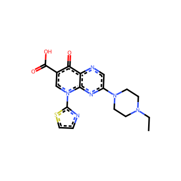 CCN1CCN(c2cnc3c(=O)c(C(=O)O)cn(-c4nccs4)c3n2)CC1